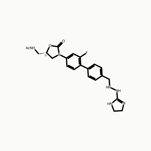 CC(=O)NC[C@H]1CN(c2ccc(-c3ccc(CNNC4=NCCN4)cc3)c(F)c2)C(=O)O1